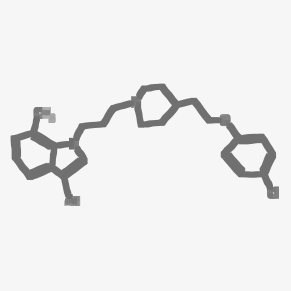 CC(=O)c1cn(CCCN2CCC(CCOc3ccc(Cl)cc3)CC2)c2c(C)cccc12